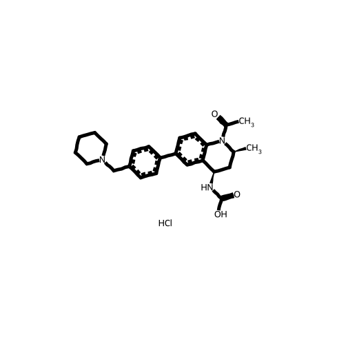 CC(=O)N1c2ccc(-c3ccc(CN4CCCCC4)cc3)cc2[C@H](NC(=O)O)C[C@@H]1C.Cl